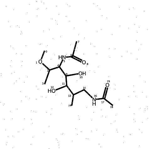 COC(C)C(NC(C)=O)C(O)C(O)C(C)CNC(C)=O